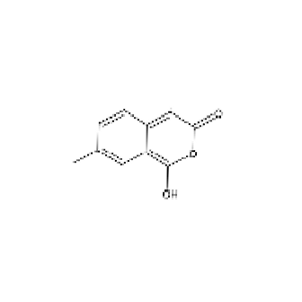 Cc1ccc2[c]c(=O)oc(O)c2c1